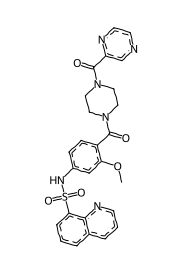 COc1cc(NS(=O)(=O)c2cccc3cccnc23)ccc1C(=O)N1CCN(C(=O)c2cnccn2)CC1